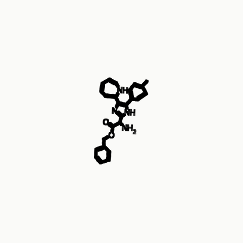 Cc1ccc(-c2[nH]c(C(N)C(=O)OCc3ccccc3)nc2C2=CC=CC=CN2)cc1